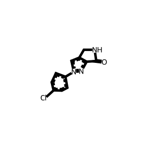 O=C1NCc2cn(-c3ccc(Cl)cc3)nc21